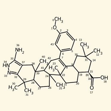 COc1cccc(C2=C3C4CC(C)(C)C[C@@H](C(=O)O)C4CCC3(C)C3(C)CCC4C(C)(C)c5n[nH]c(N)c5CC4(C)C3C2)c1